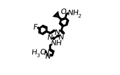 Cn1nccc1CNc1nc(-c2ccc(F)cc2)cn2c(-c3ccc(C(N)=O)c(C4CC4)c3)cnc12